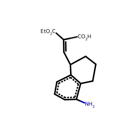 CCOC(=O)C(=CC1CCCc2c(N)cccc21)C(=O)O